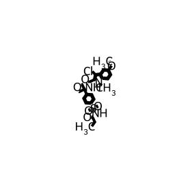 CCC(=O)NS(=O)(=O)c1ccc(C2(NC(=O)c3c(Cl)c4cc(OC)ccc4n3C)COC2)cc1